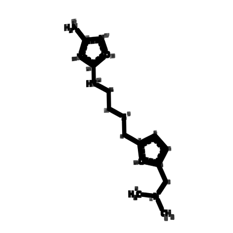 CN(C)Cc1ccc(CSCCNc2nc(N)no2)o1